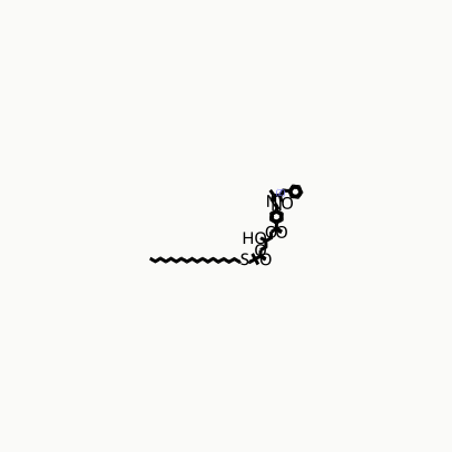 CCCCCCCCCCCCCCCCCCSCC(C)(C)C(=O)OCC(O)COC(=O)c1ccc(N2N=C(C)/C(=C/c3ccccc3)C2=O)cc1